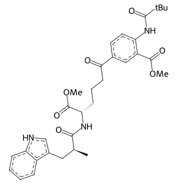 COC(=O)c1cc(C(=O)CCC[C@H](NC(=O)[C@@H](C)Cc2c[nH]c3ccccc23)C(=O)OC)ccc1NC(=O)C(C)(C)C